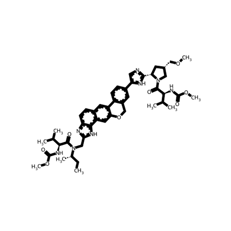 CC[C@H](C)N(Cc1nc2ccc3cc4c(cc3c2[nH]1)OCc1cc(-c2cnc([C@@H]3C[C@H](COC)CN3C(=O)[C@@H](NC(=O)OC)C(C)C)[nH]2)ccc1-4)C(=O)[C@@H](NC(=O)OC)C(C)C